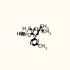 Br.Br.Cc1cncc(N(CCN(C)C)C(=O)N(C)C)n1